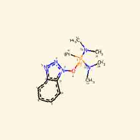 CC(C)[PH](On1nnc2ccccc21)(N(C)C)N(C)C